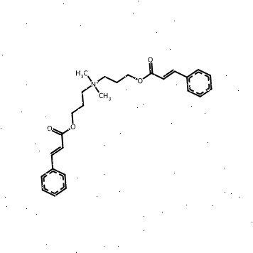 C[N+](C)(CCCOC(=O)/C=C/c1ccccc1)CCCOC(=O)/C=C/c1ccccc1